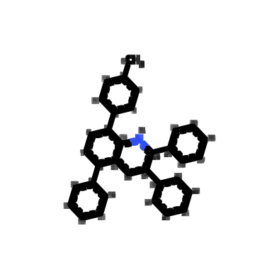 Cc1ccc(-c2ccc(-c3ccccc3)c3cc(-c4ccccc4)c(-c4ccccc4)nc23)cc1